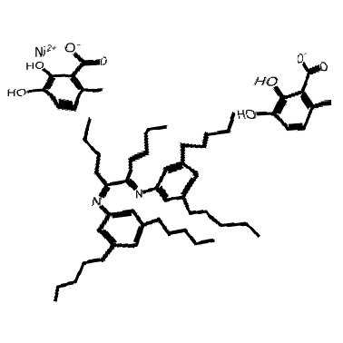 CCCCCc1cc(CCCCC)cc(N=C(CCCC)C(CCCC)=Nc2cc(CCCCC)cc(CCCCC)c2)c1.Cc1ccc(O)c(O)c1C(=O)[O-].Cc1ccc(O)c(O)c1C(=O)[O-].[Ni+2]